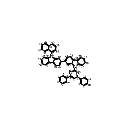 c1ccc(-c2cc(-c3ccccc3)nc(-n3c4ccccc4c4ccc(-c5ccc6c7ccccc7n(-c7cccc8ccccc78)c6c5)cc43)n2)cc1